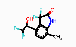 Cc1ccc(C(O)C(F)F)c2c1NC(=O)C2(F)F